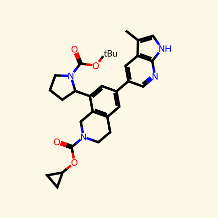 Cc1c[nH]c2ncc(-c3cc4c(c(C5CCCN5C(=O)OC(C)(C)C)c3)CN(C(=O)OC3CC3)CC4)cc12